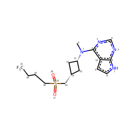 CN(c1ncnc2[nH]ccc12)[C@H]1C[C@@H](CS(=O)(=O)CCCC(F)(F)F)C1